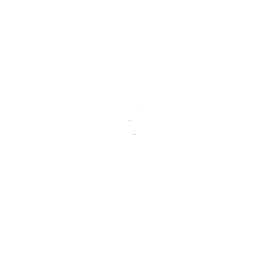 CCN1C=CC=CC1O